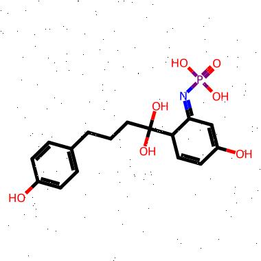 O=P(O)(O)N=C1C=C(O)C=CC1C(O)(O)CCCc1ccc(O)cc1